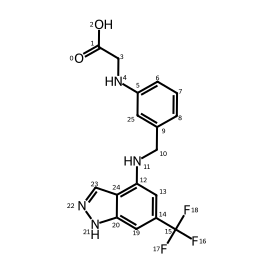 O=C(O)CNc1cccc(CNc2cc(C(F)(F)F)cc3[nH]ncc23)c1